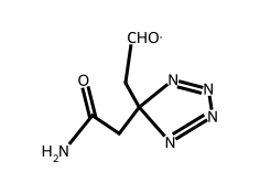 NC(=O)CC1(C[C]=O)N=NN=N1